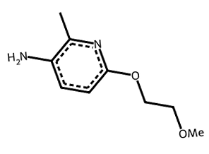 COCCOc1ccc(N)c(C)n1